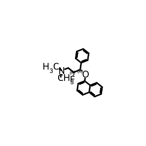 CN(C)C[C@@H](F)[C@H](Oc1cccc2ccccc12)c1ccccc1